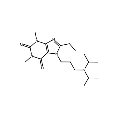 CCc1nc2c(c(=O)n(C)c(=O)n2C)n1CCCN(C(C)C)C(C)C